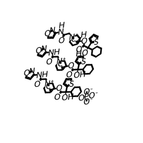 O=C(C[N+]12CCC(CC1)C(OC(=O)[C@](O)(c1cccs1)C1CCCCC1)C2)Nc1ccon1.O=C(C[N+]12CCC(CC1)C(OC(=O)[C@](O)(c1cccs1)C1CCCCC1)C2)Nc1ccon1.O=C(C[N+]12CCC(CC1)[C@@H](OC(=O)[C@](O)(c1cccs1)C1CCCCC1)C2)Nc1ccon1.O=P([O-])([O-])[O-]